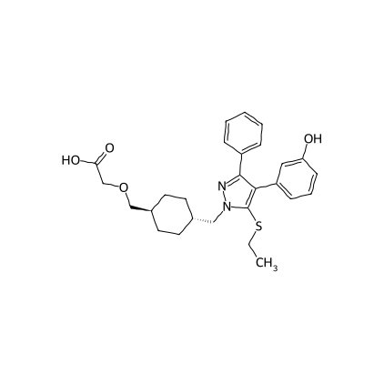 CCSc1c(-c2cccc(O)c2)c(-c2ccccc2)nn1C[C@H]1CC[C@H](COCC(=O)O)CC1